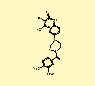 COc1ccc(C(=O)N2CCN(c3ccc4[nH]c(=O)c(O)c(O)c4c3)CC2)cc1OC